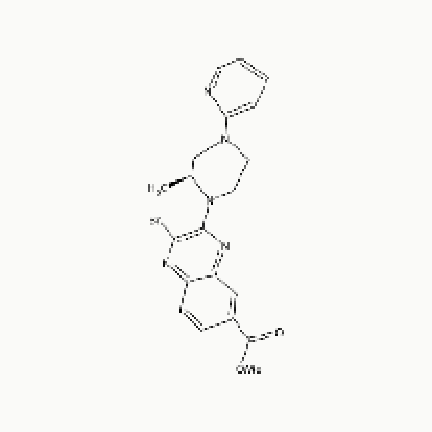 COC(=O)c1ccc2nc(Br)c(N3CCN(c4ccccn4)C[C@@H]3C)nc2c1